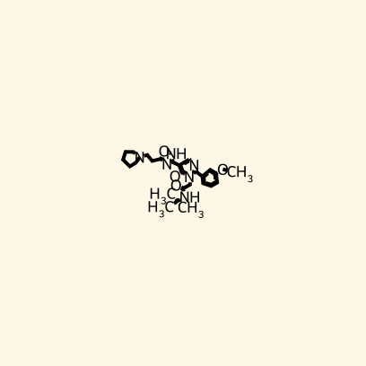 COc1cccc(-c2ncc(C3N=C(CCN4CCCCC4)ON3)c(=O)n2CC(=O)NC(C)(C)C)c1